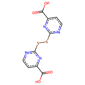 O=C(O)c1ccnc(SSc2nccc(C(=O)O)n2)n1